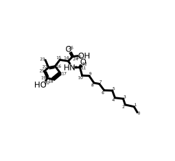 CCCCCCCCCCCC(=O)NC(Cc1c#cc(O)cc1C)C(=O)O